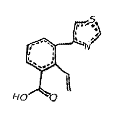 C=Cc1c(C(=O)O)cccc1-c1cscn1